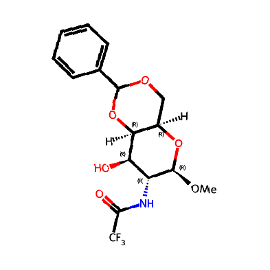 CO[C@@H]1O[C@@H]2COC(c3ccccc3)O[C@@H]2[C@H](O)[C@H]1NC(=O)C(F)(F)F